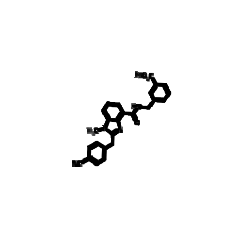 CCOC(=O)c1cccc(CNC(=O)c2cccc3c2nc(Cc2ccc(C#N)cc2)n3C)c1